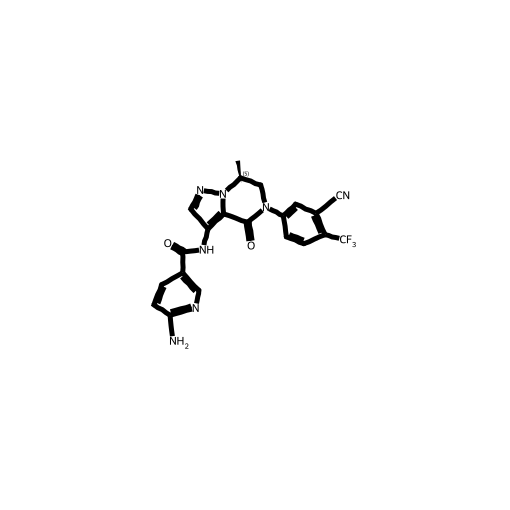 C[C@H]1CN(c2ccc(C(F)(F)F)c(C#N)c2)C(=O)c2c(NC(=O)c3ccc(N)nc3)cnn21